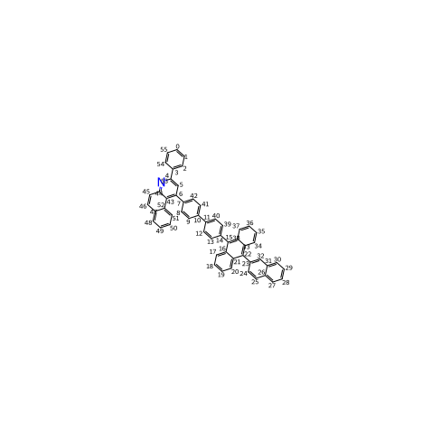 c1ccc(-c2cc(-c3ccc(-c4ccc(-c5c6ccccc6c(-c6ccc7ccccc7c6)c6ccccc56)cc4)cc3)c3c(ccc4ccccc43)n2)cc1